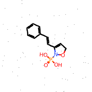 O=P(O)(O)N1OCC=C1C=Cc1ccccc1